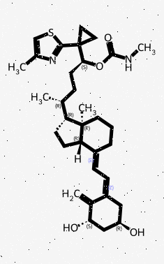 C=C1/C(=C\C=C2/CCC[C@]3(C)[C@@H]([C@H](C)CC[C@H](OC(=O)NC)C4(c5nc(C)cs5)CC4)CC[C@@H]23)C[C@@H](O)C[C@@H]1O